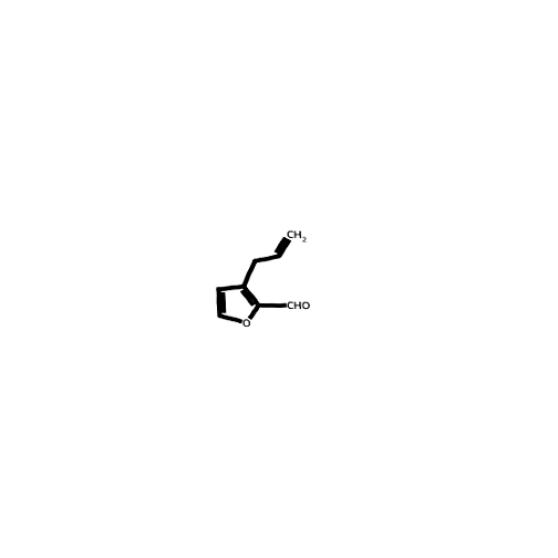 C=CCc1ccoc1C=O